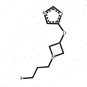 FCCCN1CC(Oc2cncs2)C1